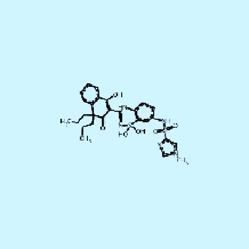 CCCC1(CCC)C(=O)C(C2=NS(O)(O)c3cc(NS(=O)(=O)c4cn(C)cn4)ccc3N2)=C(O)c2ccccc21